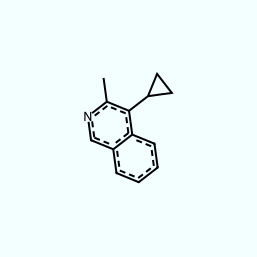 Cc1ncc2ccccc2c1C1CC1